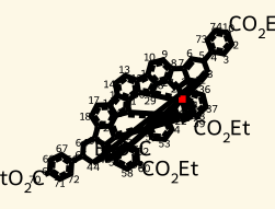 CCOC(=O)c1ccc(C2C=C3c4ccc5c6ccc7c8ccc9c%10c%11c%12c%13c%14c%15c(c4c5c%14c6c7c%13c%108)C3(c3ccc(C(=O)OCC)cc3)C3=C2C2C(=C3[C@@]%15%12c3ccc(C(=O)OCC)cc3)C%11(c3ccc(C(=O)OCC)cc3)C9CC2c2ccc(C(=O)OCC)cc2)cc1